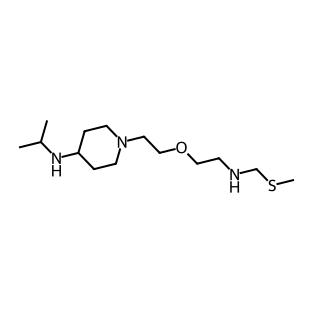 CSCNCCOCCN1CCC(NC(C)C)CC1